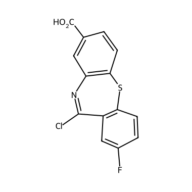 O=C(O)c1ccc2c(c1)N=C(Cl)c1cc(F)ccc1S2